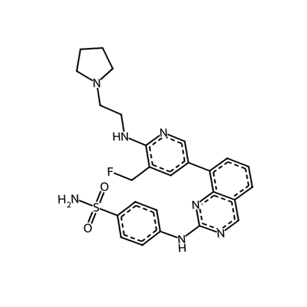 NS(=O)(=O)c1ccc(Nc2ncc3cccc(-c4cnc(NCCN5CCCC5)c(CF)c4)c3n2)cc1